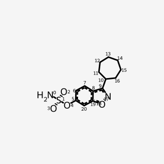 NS(=O)(=O)Oc1ccc2c(C3CCCCCC3)noc2c1